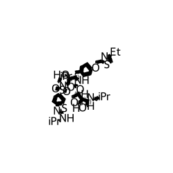 CCc1csc(COc2ccc(C[C@H](NC(=O)O[C@H]3CO[C@H]4OC[C@H](NCC(C)C)[C@H]43)[C@H](O)CN(CC(C)C)S(=O)(=O)c3ccc4nc(NC(C)C)sc4c3)cc2)n1